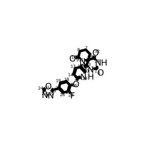 O=C1NC(=O)C2(CCCC(=O)N2c2ccc(Oc3ccc(-c4nnco4)cc3F)nc2)C(=O)N1